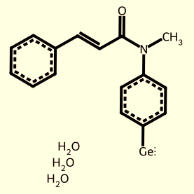 CN(C(=O)C=Cc1ccccc1)c1cc[c]([Ge])cc1.O.O.O